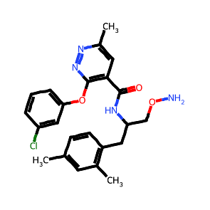 Cc1ccc(CC(CON)NC(=O)c2cc(C)nnc2Oc2cccc(Cl)c2)c(C)c1